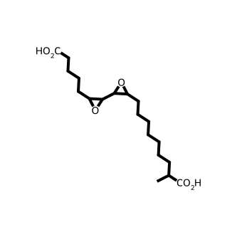 CC(CCCCCCCC1OC1C1OC1CCCCC(=O)O)C(=O)O